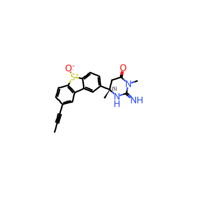 CC#Cc1ccc2c(c1)c1cc([C@]3(C)CC(=O)N(C)C(=N)N3)ccc1[s+]2[O-]